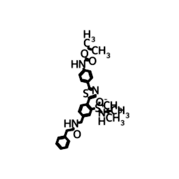 CC(C)OC(=O)Nc1ccc(-c2ncc(-c3ccc(CNC(=O)Cc4ccccc4)cc3[S+]([O-])NC(C)(C)C)s2)cc1